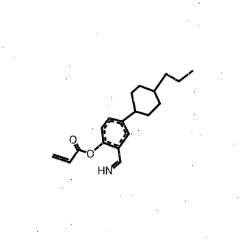 C=CC(=O)Oc1ccc(C2CCC(CCC)CC2)cc1C=N